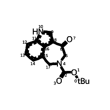 CC(C)(C)OC(=O)N1CC(=O)c2c[nH]c3cccc(c23)C1